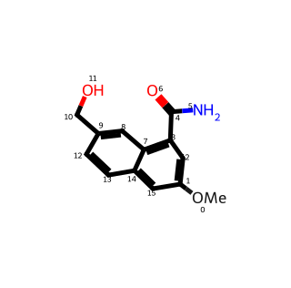 COc1[c]c(C(N)=O)c2cc(CO)ccc2c1